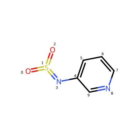 O=S(=O)=Nc1cccnc1